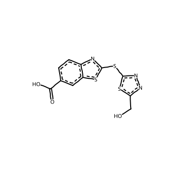 O=C(O)c1ccc2nc(Sc3nnc(CO)s3)sc2c1